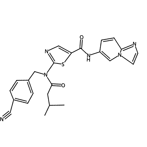 CC(C)CC(=O)N(Cc1ccc(C#N)cc1)c1ncc(C(=O)Nc2ccc3nccn3c2)s1